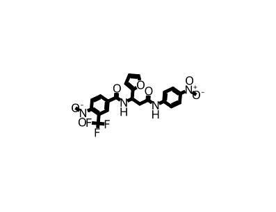 O=C(CC(NC(=O)c1ccc([N+](=O)[O-])c(C(F)(F)F)c1)c1ccco1)Nc1ccc([N+](=O)[O-])cc1